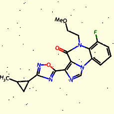 COCCn1c(=O)c2c(-c3nc(C4CC4C)no3)ncn2c2cccc(F)c21